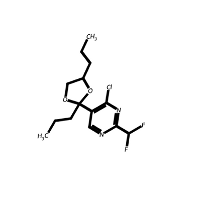 CCCC1COC(CCC)(c2cnc(C(F)F)nc2Cl)O1